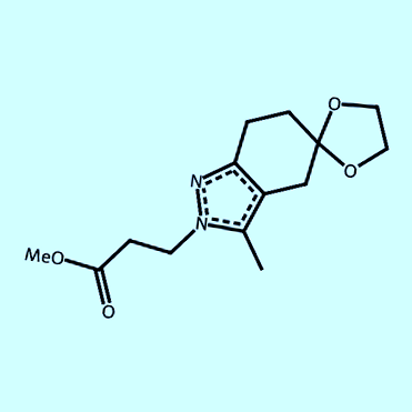 COC(=O)CCn1nc2c(c1C)CC1(CC2)OCCO1